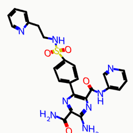 NC(=O)c1nc(-c2ccc(S(=O)(=O)NCCc3ccccn3)cc2)c(C(=O)Nc2cccnc2)nc1N